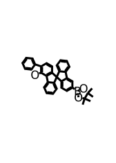 CC1(C)OB(c2ccc3c(c2)-c2ccccc2C32c3ccccc3-c3c2ccc2c3oc3ccccc32)OC1(C)C